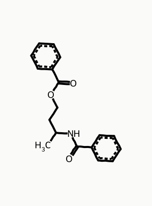 CC(CCOC(=O)c1ccccc1)NC(=O)c1ccccc1